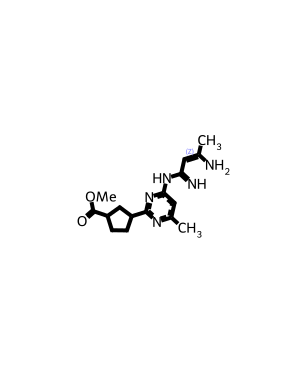 COC(=O)C1CCC(c2nc(C)cc(NC(=N)/C=C(/C)N)n2)C1